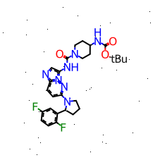 CC(C)(C)OC(=O)NC1CCN(C(=O)Nc2cnc3ccc(N4CCCC4c4cc(F)ccc4F)nn23)CC1